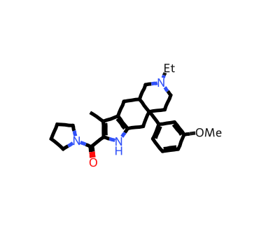 CCN1CCC2(c3cccc(OC)c3)Cc3[nH]c(C(=O)N4CCCC4)c(C)c3CC2C1